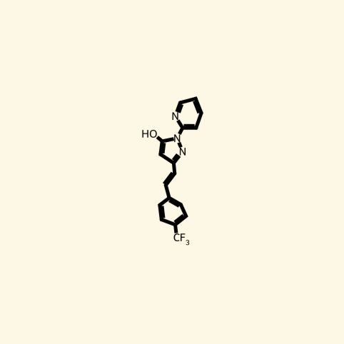 Oc1cc(C=Cc2ccc(C(F)(F)F)cc2)nn1-c1ccccn1